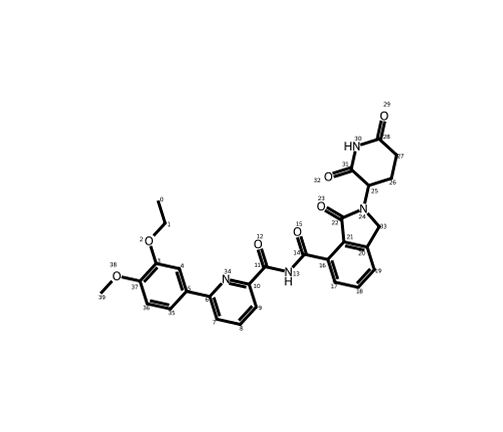 CCOc1cc(-c2cccc(C(=O)NC(=O)c3cccc4c3C(=O)N(C3CCC(=O)NC3=O)C4)n2)ccc1OC